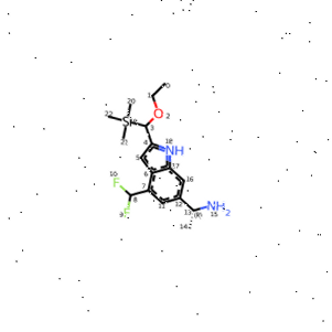 CCOC(c1cc2c(C(F)F)cc([C@@H](C)N)cc2[nH]1)[Si](C)(C)C